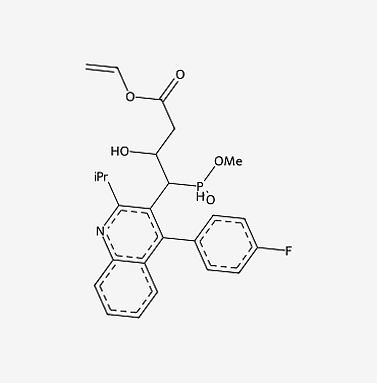 C=COC(=O)CC(O)C(c1c(C(C)C)nc2ccccc2c1-c1ccc(F)cc1)[PH](=O)OC